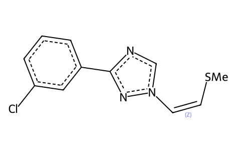 CS/C=C\n1cnc(-c2cccc(Cl)c2)n1